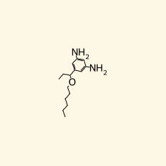 CCCCCCOC(CC)c1cc(N)cc(N)c1